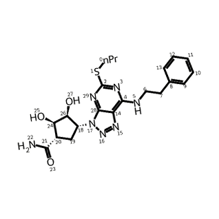 CCCSc1nc(NCCc2ccccc2)c2nnn([C@@H]3C[C@H](C(N)=O)[C@@H](O)[C@H]3O)c2n1